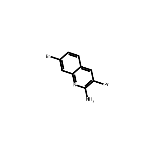 CC(C)c1cc2ccc(Br)cc2nc1N